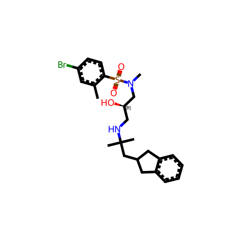 Cc1cc(Br)ccc1S(=O)(=O)N(C)C[C@H](O)CNC(C)(C)CC1Cc2ccccc2C1